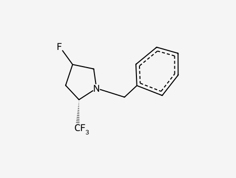 FC1C[C@@H](C(F)(F)F)N(Cc2ccccc2)C1